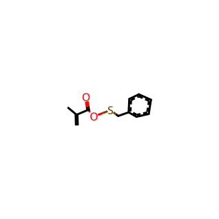 C=C(C)C(=O)OSCc1ccccc1